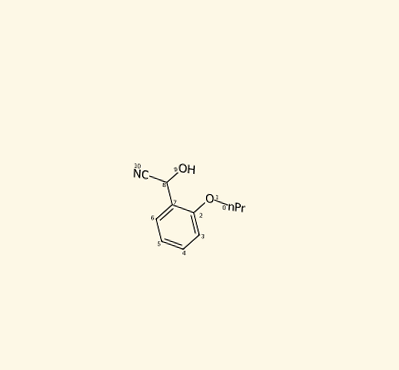 CCCOc1ccccc1C(O)C#N